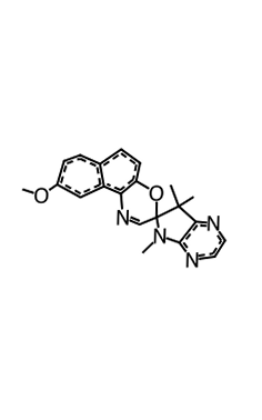 COc1ccc2ccc3c(c2c1)N=CC1(O3)N(C)c2nccnc2C1(C)C